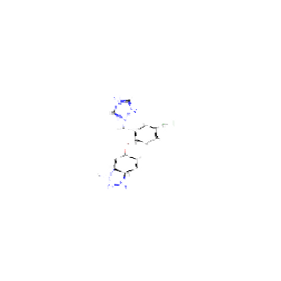 Cn1nnc2ccc(Oc3ccc(Cl)cc3Cn3cncn3)cc21